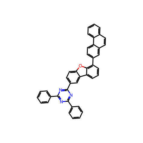 c1ccc(-c2nc(-c3ccccc3)nc(-c3ccc4oc5c(-c6ccc7c(ccc8ccccc87)c6)cccc5c4c3)n2)cc1